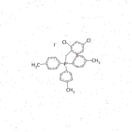 Cc1ccc([P+](Cc2ccc(Cl)cc2Cl)(c2ccc(C)cc2)c2ccc(C)cc2)cc1.[I-]